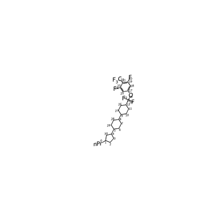 CCCC1CCC(C2CCC(C3CCC(C(F)(F)Oc4cc(F)c(C(F)(F)F)c(F)c4)CC3)CC2)C1